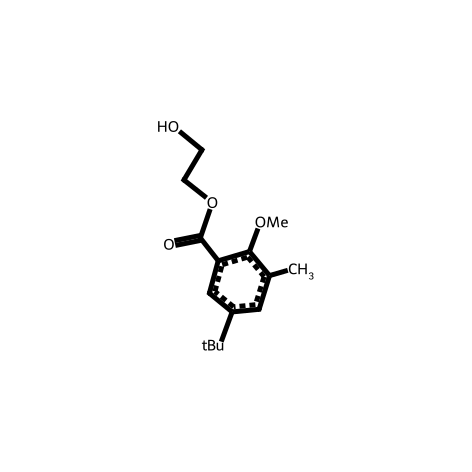 COc1c(C)cc(C(C)(C)C)cc1C(=O)OCCO